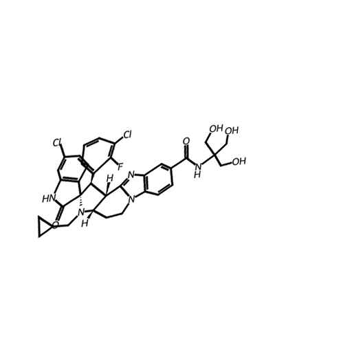 O=C(NC(CO)(CO)CO)c1ccc2c(c1)nc1n2CC[C@H]2[C@@H]1[C@H](c1cccc(Cl)c1F)[C@]1(C(=O)Nc3cc(Cl)ccc31)N2CC1CC1